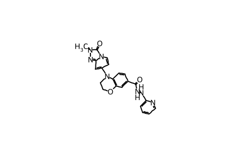 Cn1nc2cc(N3CCOc4cc(C(=O)NNc5ccccn5)ccc43)ccn2c1=O